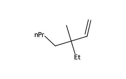 C=CC(C)(CC)CCCC